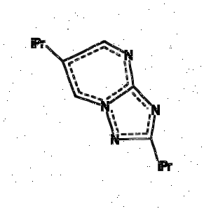 CC(C)c1cnc2nc(C(C)C)nn2c1